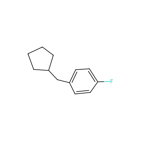 Fc1ccc(CC2CCCC2)cc1